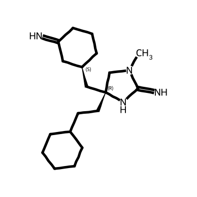 CN1C[C@@](CCC2CCCCC2)(C[C@@H]2CCCC(=N)C2)NC1=N